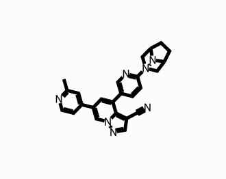 Cc1cc(-c2cc(-c3ccc(N4CC5CCC(C4)N5C)nc3)c3c(C#N)cnn3c2)ccn1